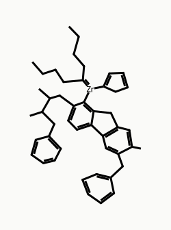 CCCC[C](CCCC)=[Zr]([C]1=CC=CC1)[c]1c(CC(C)C(C)Cc2ccccc2)ccc2c1Cc1cc(C)c(Cc3ccccc3)cc1-2